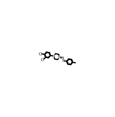 Cc1ccc(/N=N/N2CCN(c3ccc(Cl)c(Cl)c3)CC2)cc1